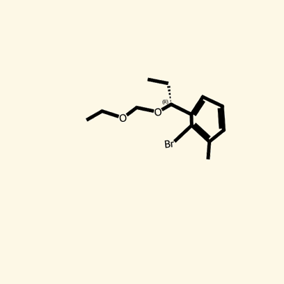 CCOCO[C@H](CC)c1cccc(C)c1Br